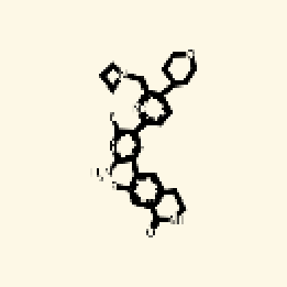 Nc1nc(F)c(-c2ccc(C3CCOCC3)c(CN3CCC3)n2)cc1-c1cc2c(cc1F)C(=O)NCC2